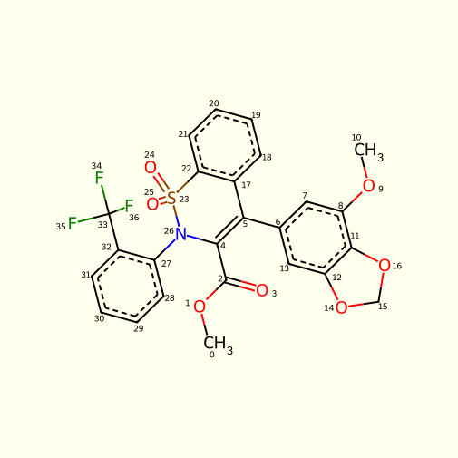 COC(=O)C1=C(c2cc(OC)c3c(c2)OCO3)c2ccccc2S(=O)(=O)N1c1ccccc1C(F)(F)F